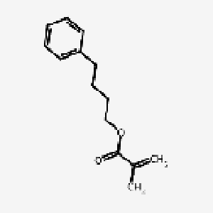 C=C(C)C(=O)OCCCCc1ccccc1